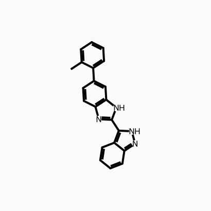 Cc1ccccc1-c1ccc2nc(-c3[nH]nc4ccccc34)[nH]c2c1